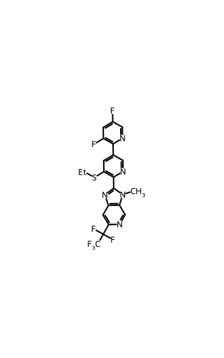 CCSc1cc(-c2ncc(F)cc2F)cnc1-c1nc2cc(C(F)(F)C(F)(F)F)ncc2n1C